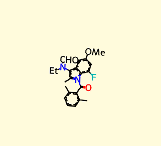 CCN(C=O)c1c(C)n(C(=O)c2c(C)cccc2C)c2c(F)cc(OC)cc12